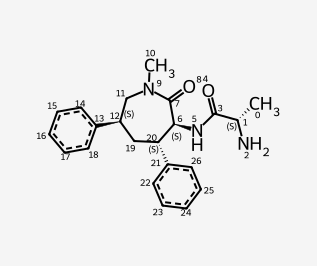 C[C@H](N)C(=O)N[C@@H]1C(=O)N(C)C[C@H](c2ccccc2)C[C@H]1c1ccccc1